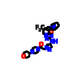 O=C(Cn1cc(Nc2nc3c(N4CC5CCC(C4)N5C(=O)CCC(F)(F)F)cccn3n2)cn1)N1CCN(C2CCOCC2)CC1